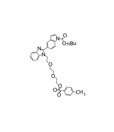 CCCCOC(=O)n1ccc2cc(-c3nc4ccccc4n3CCOCCOCCOS(=O)(=O)c3ccc(C)cc3)ccc21